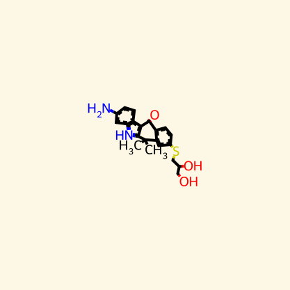 CC1(C)c2cc(SCC(O)CO)ccc2C(=O)c2c1[nH]c1cc(N)ccc21